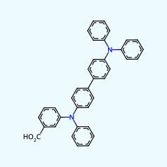 O=C(O)c1cccc(N(c2ccccc2)c2ccc(-c3ccc(N(c4ccccc4)c4ccccc4)cc3)cc2)c1